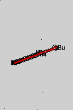 CC(C)(C)OC(=O)CCCCCCCCCCCCCCCCC(=O)NCCCC(=O)NCCOCCOCCOCCOCCOCCOCCOCCOCCOCCOCCOCCN=[N+]=[N-]